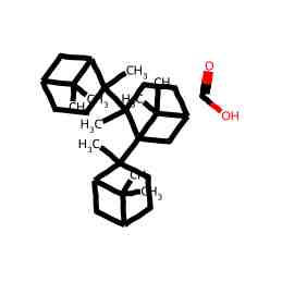 CC1(C)C2CCC(C)(C3(C)CCC4CC3(C3(C)CCC5CC3C5(C)C)C4(C)C)C1C2.O=CO